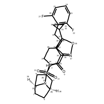 O=C(N[C@H]1C[C@H]2CC[C@@H](C1)N2S(=O)(=O)N1CCC(NCc2c(F)cccc2F)CC1)c1cc(C2CC2)on1